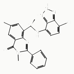 Cc1cc([C@@H](C)Nc2ccc(Cl)c3n[nH]nc23)c2nc(-c3ccccc3)n(C)c(=O)c2c1